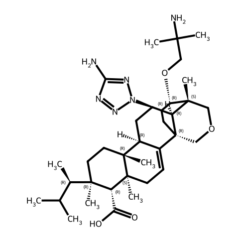 CC(C)[C@@H](C)[C@@]1(C)CC[C@]2(C)[C@H]3CC[C@@H]4[C@@]5(COC[C@@]4(C)[C@@H](OCC(C)(C)N)[C@H](n4nnc(N)n4)C5)C3=CC[C@@]2(C)[C@@H]1C(=O)O